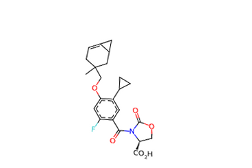 CC1(COc2cc(F)c(C(=O)N3C(=O)OC[C@H]3C(=O)O)cc2C2CC2)CC=C2CC2C1